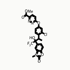 COC(=O)c1ccc(Oc2ccc(C(C)C(O)(c3ccc4oc(=O)n(C)c4c3)C(F)(F)F)c(Cl)c2)nn1